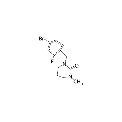 CN1CCCN(Cc2ccc(Br)cc2F)C1=O